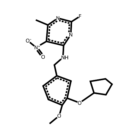 COc1ccc(CNc2nc(F)nc(C)c2[N+](=O)[O-])cc1OC1CCCC1